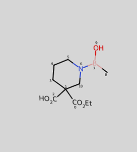 CCOC(=O)C1(C(=O)O)CCCN(B(C)O)C1